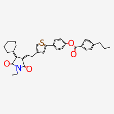 CCCc1ccc(C(=O)Oc2ccc(-c3cc(CC=C4C(=O)N(CC)C(=O)C4=C4CCCCC4)cs3)cc2)cc1